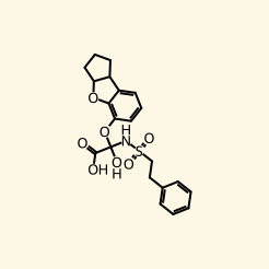 O=C(O)C(O)(NS(=O)(=O)CCc1ccccc1)Oc1cccc2c1OC1CCCC21